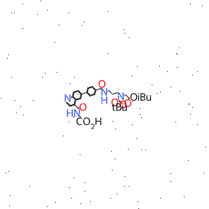 CC(C)COC(=O)CN(CCCNC(=O)c1ccc(-c2ccc3nccc(C(=O)NCC(=O)O)c3c2)cc1)C(=O)OC(C)(C)C